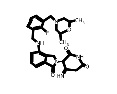 CC1CN(Cc2cccc(CNc3cccc4c3CN([C@@H]3C(=N)CC(=O)NC3=O)C4=O)c2F)CC(C)O1